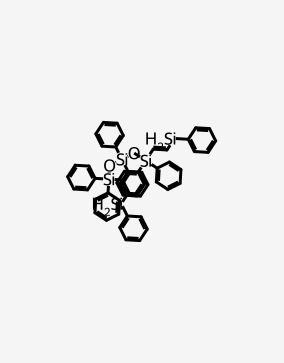 C(=C[Si](O[Si](O[Si](C=C[SiH2]c1ccccc1)(c1ccccc1)c1ccccc1)(c1ccccc1)c1ccccc1)(c1ccccc1)c1ccccc1)[SiH2]c1ccccc1